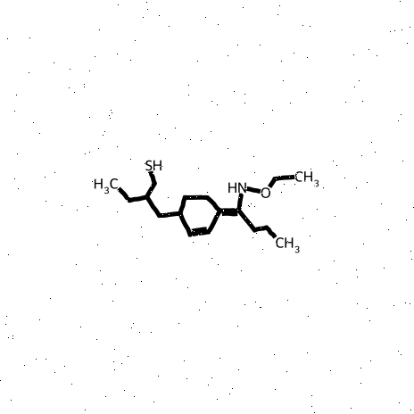 CCCC(NOCC)=C1C=CC(CC(CC)CS)CC1